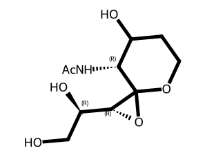 CC(=O)N[C@@H]1C(O)CCOC12O[C@@H]2[C@H](O)CO